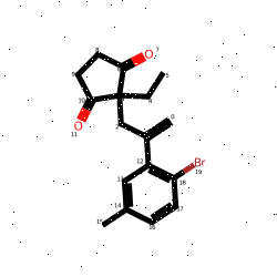 C=C(CC1(CC)C(=O)CCC1=O)c1cc(C)ccc1Br